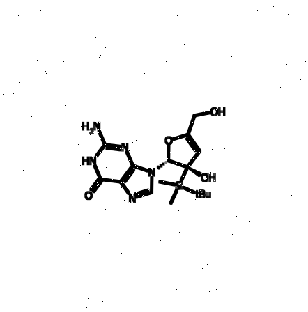 CC(C)(C)[Si](C)(C)[C@@]1(O)C=C(CO)O[C@H]1n1cnc2c(=O)[nH]c(N)nc21